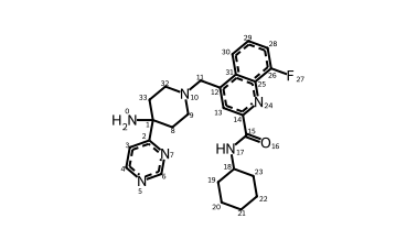 NC1(c2ccncn2)CCN(Cc2cc(C(=O)NC3CCCCC3)nc3c(F)cccc23)CC1